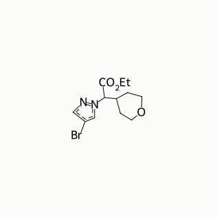 CCOC(=O)C(C1CCOCC1)n1cc(Br)cn1